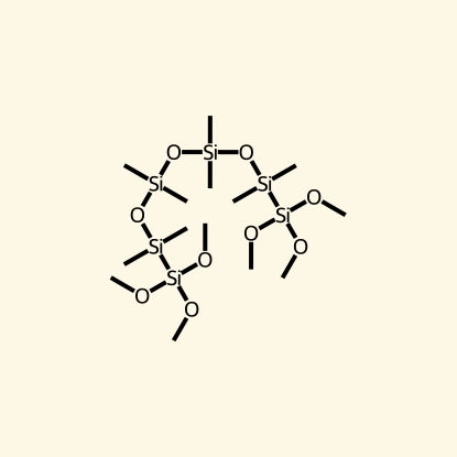 CO[Si](OC)(OC)[Si](C)(C)O[Si](C)(C)O[Si](C)(C)O[Si](C)(C)[Si](OC)(OC)OC